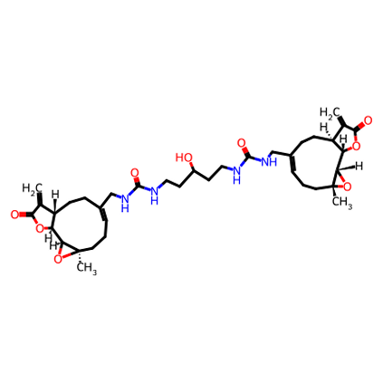 C=C1C(=O)O[C@H]2[C@H]1CC/C(CNC(=O)NCCC(O)CCNC(=O)NC/C1=C/CC[C@@]3(C)O[C@H]3[C@H]3OC(=O)C(=C)[C@@H]3CC1)=C\CC[C@@]1(C)O[C@@H]21